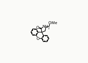 COCCCC1(C(N)=O)c2ccccc2Oc2ccccc21